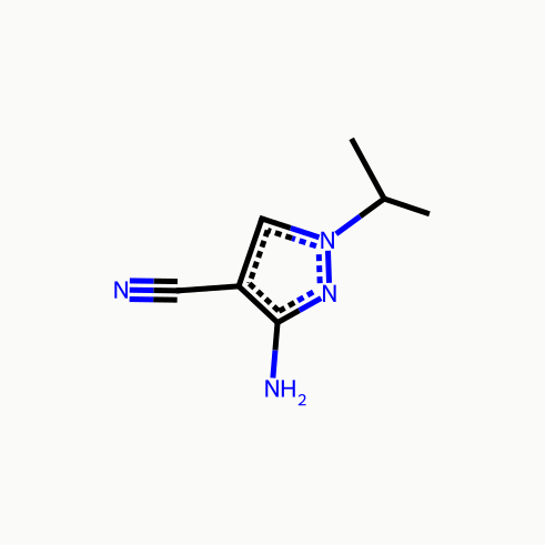 CC(C)n1cc(C#N)c(N)n1